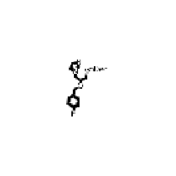 CCCCCCCCCCSCC(Cn1ccnc1)OCc1ccc(F)cc1